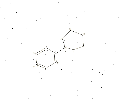 [C]1CCN(c2ccncc2)CC1